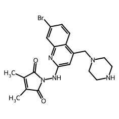 CC1=C(C)C(=O)N(Nc2cc(CN3CCNCC3)c3ccc(Br)cc3n2)C1=O